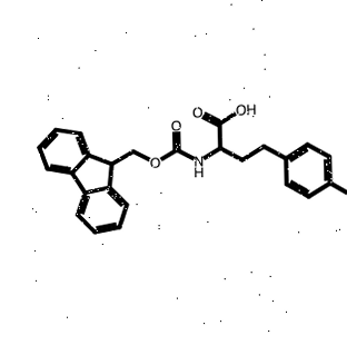 O=C(NC(CCc1ccc(Cl)cc1)C(=O)O)OCC1c2ccccc2-c2ccccc21